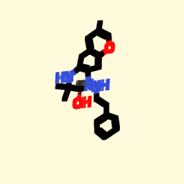 CC1=COC2=CC3=C(CC2=C1)NC(C)(C)[C@@H](O)N3NCCc1ccccc1